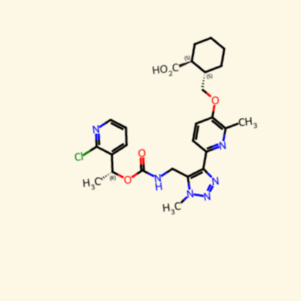 Cc1nc(-c2nnn(C)c2CNC(=O)O[C@H](C)c2cccnc2Cl)ccc1OC[C@H]1CCCC[C@@H]1C(=O)O